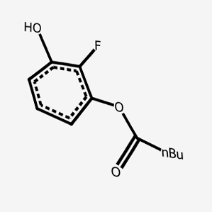 CCCCC(=O)Oc1cccc(O)c1F